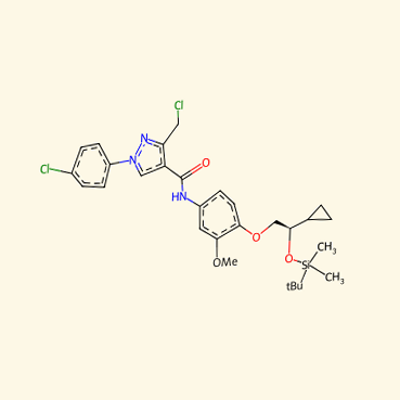 COc1cc(NC(=O)c2cn(-c3ccc(Cl)cc3)nc2CCl)ccc1OC[C@H](O[Si](C)(C)C(C)(C)C)C1CC1